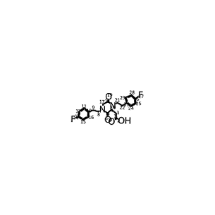 O=C(O)CC1C(=O)N(CCc2ccc(F)cc2)CC(=O)N1CCc1ccc(F)cc1